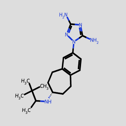 CC(N[C@H]1CCc2ccc(-n3nc(N)nc3N)cc2CC1)C(C)(C)C